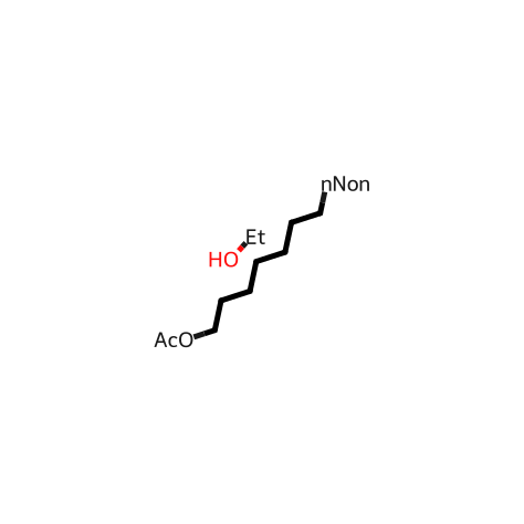 CCCCCCCCCCCCCCCCOC(C)=O.CCO